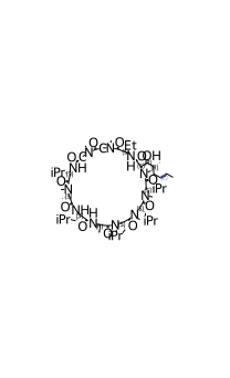 C/C=C/C[C@@H](C)[C@@H](O)[C@H]1C(=O)N[C@@H](CC)C(=O)N(C)CC(=O)N(C)CC(=O)N[C@@H](C(C)C)C(=O)N(C)[C@@H](C)C(=O)N[C@@H](CC(C)C)C(=O)N[C@H](C)C(=O)N(C)[C@@H](CC(C)C)C(=O)N(C)[C@@H](CC(C)C)C(=O)N(C)[C@@H](C(C)C)C(=O)N1C